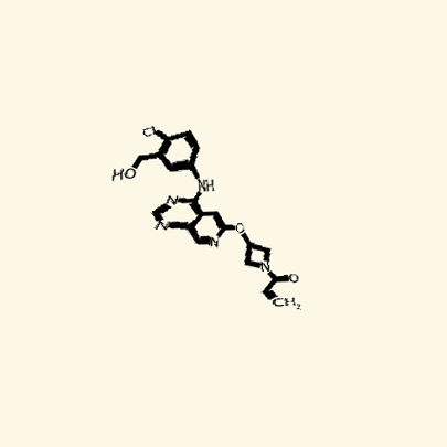 C=CC(=O)N1CC(Oc2cc3c(Nc4ccc(Cl)c(CO)c4)ncnc3cn2)C1